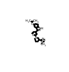 CC(C)Oc1ccc2[nH]nc(-c3ccnc(N4CCCC(c5nncn5C)C4)c3)c2c1